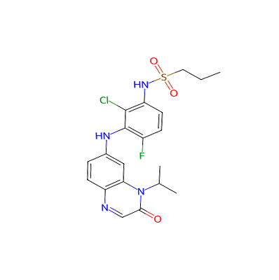 CCCS(=O)(=O)Nc1ccc(F)c(Nc2ccc3ncc(=O)n(C(C)C)c3c2)c1Cl